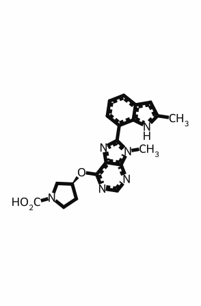 Cc1cc2cccc(-c3nc4c(O[C@H]5CCN(C(=O)O)C5)ncnc4n3C)c2[nH]1